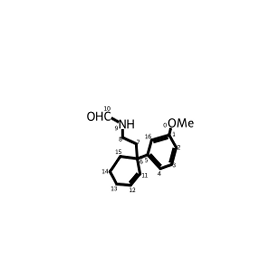 COc1cccc(C2(CCNC=O)C=CCCC2)c1